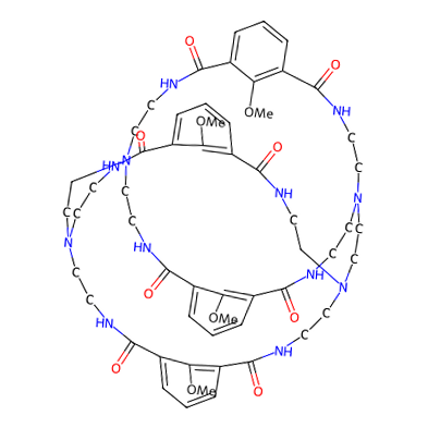 COc1c2cccc1C(=O)NCCN1CCNC(=O)c3cccc(c3OC)C(=O)NCCN(CCNC2=O)CCN2CCNC(=O)c3cccc(c3OC)C(=O)NCCN(CCNC(=O)c3cccc(c3OC)C(=O)NCC2)CC1